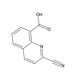 N#Cc1ccc2cccc(C(=O)O)c2n1